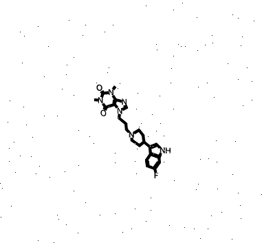 Cn1c(=O)c2c(ncn2CCCN2CCC(c3c[nH]c4cc(F)ccc34)CC2)n(C)c1=O